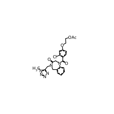 CC(=O)OCCOc1ccc(C(=O)N2CC(=O)N(Cc3nnnn3C)Cc3ccccc32)c(Cl)c1